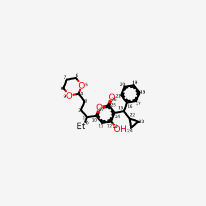 CCC(CCC1OCCCO1)c1cc(O)c(C(c2ccccc2)C2CC2)c(=O)o1